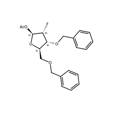 CC(=O)O[C@@H]1O[C@H](COCc2ccccc2)[C@@H](OCc2ccccc2)[C@H]1F